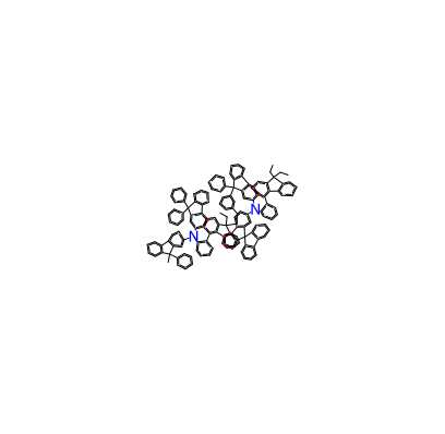 CCC1(CC)c2ccccc2-c2c(-c3ccccc3N(c3ccc4c(c3)C(c3ccccc3)(c3cccc(CCC5(CC)c6ccccc6-c6c(-c7ccccc7N(c7ccc8c(c7)C(C)(c7ccccc7)c7ccccc7-8)c7ccc8c(c7)C(c7ccccc7)(c7ccccc7)c7ccccc7-8)cccc65)c3)c3ccccc3-4)c3ccc4c(c3)C3(c5ccccc5-c5ccccc53)c3ccccc3-4)cccc21